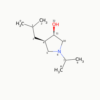 CC(C)C[C@@H]1CN(C(C)C)C[C@@H]1O